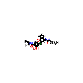 CC(C)C(NC(=O)c1cc(Oc2c(Cl)cc(NC(=O)CC(=O)O)c3c2CCC3)ccc1O)C(C)C